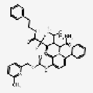 Cc1cccc(COC(=O)Nc2ccc(-c3ccccc3)n(C(C(N)=O)C(C(=O)C(F)(F)C(=O)NCCc3ccccc3)C(C)C)c2=O)n1